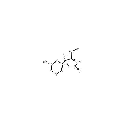 CCCCNC(=O)[C@@](C[C@@H](O)CC)(C(C)C)C1CCC[C@H](N)C1